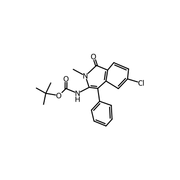 Cn1c(NC(=O)OC(C)(C)C)c(-c2ccccc2)c2cc(Cl)ccc2c1=O